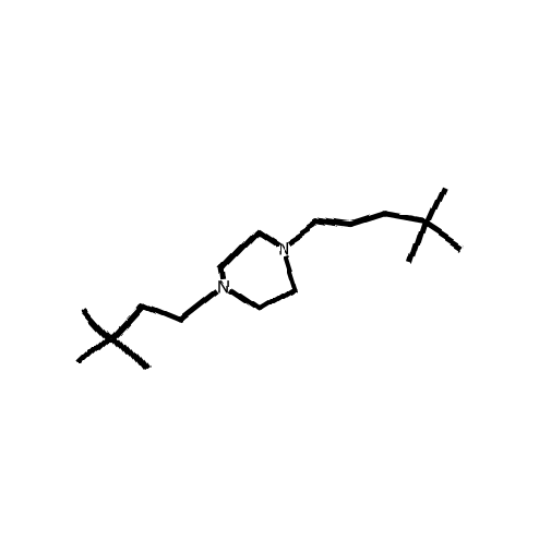 CC(C)(C)CCCN1CCN(CCC(C)(C)C)CC1